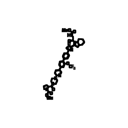 COC(=O)NCC(=O)N1C(c2nc(-c3ccc(-c4ccc(C5=CCC(N6CCN(C(=O)C7CCCN7C(=O)OC(C)(C)C)CC6)N=C5)cc4OC(F)(F)F)cc3)c[nH]2)CC2CCCCC21